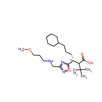 COCCCNCc1noc([C@H](CCCC2CCCCC2)C(C(=O)O)C(C)(C)C)n1